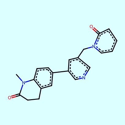 CN1C(=O)CCc2cc(-c3cncc(Cn4ccccc4=O)c3)ccc21